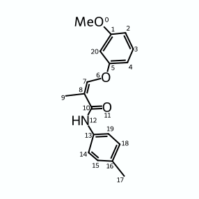 COc1cccc(OC=C(C)C(=O)Nc2ccc(C)cc2)c1